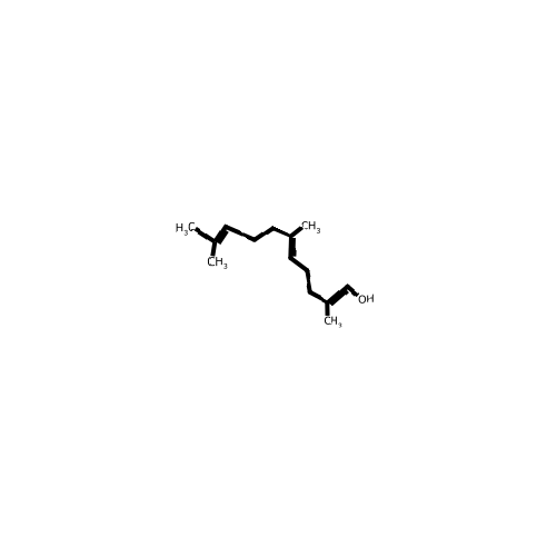 CC(C)=CCCC(C)=CCCC(C)=CO